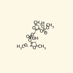 COC[C@H]1O[C@@H](C)C[C@H]1O[P@@](=O)(O)OC[C@H]1O[C@@H](C)C[C@H]1OP(=O)(O)OC